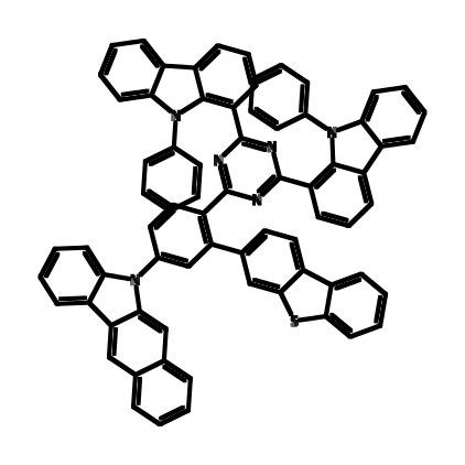 c1ccc(-n2c3ccccc3c3cccc(-c4nc(-c5ccc(-n6c7ccccc7c7cc8ccccc8cc76)cc5-c5ccc6c(c5)sc5ccccc56)nc(-c5cccc6c7ccccc7n(-c7ccccc7)c56)n4)c32)cc1